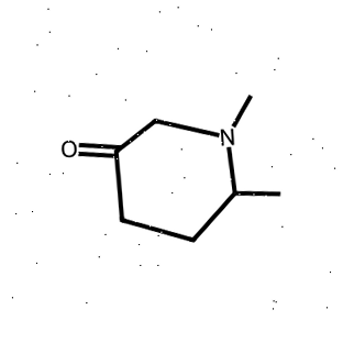 CC1CCC(=O)CN1C